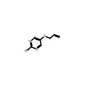 C=CCOc1cnc(Cl)nc1